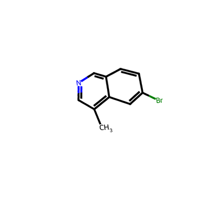 Cc1cncc2ccc(Br)cc12